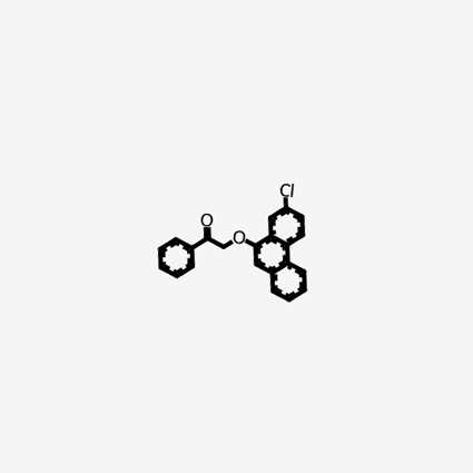 O=C(COc1cc2ccccc2c2ccc(Cl)cc12)c1ccccc1